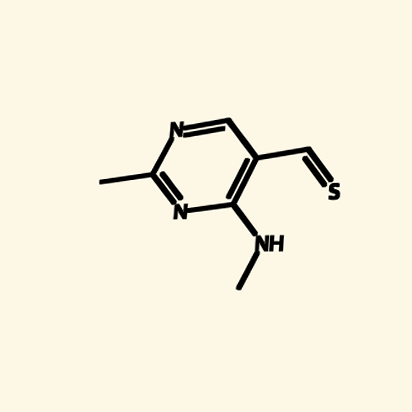 CNc1nc(C)ncc1C=S